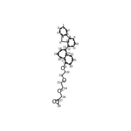 c1ccc2c(c1)Cc1c-2cccc1-c1cccc2c(OCCOCCOCC3CO3)cccc12